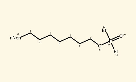 CCCCCCCCCCCCCCCCOP(=O)(CC)CC